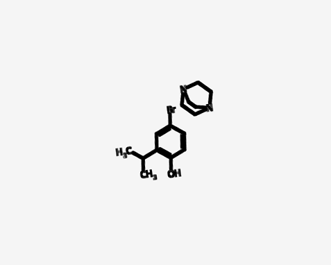 C1CN2CCN1CC2.CC(C)c1cc(Br)ccc1O